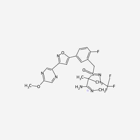 C/N=C(/N)C(C)(C)S(=O)(Cc1cc(-c2cc(-c3cnc(OC)cn3)no2)ccc1F)=NCC(F)(F)F